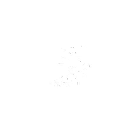 COc1ccc(OC)c(S(=O)(=O)N[C@]2(CCC(C)C)C(=O)C(C3=NS(O)(O)c4cc(NS(C)(=O)=O)ccc4N3)=C(O)c3ccccc32)c1